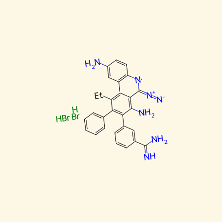 Br.Br.CCc1c2c(c(N)c(-c3cccc(C(=N)N)c3)c1-c1ccccc1)C(=[N+]=[N-])[N]c1ccc(N)cc1-2